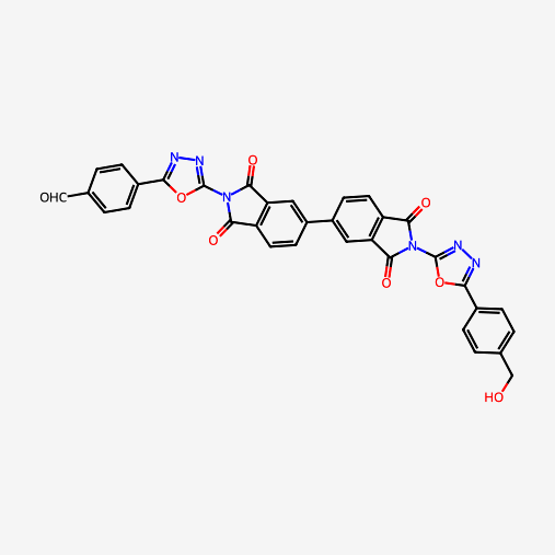 O=Cc1ccc(-c2nnc(N3C(=O)c4ccc(-c5ccc6c(c5)C(=O)N(c5nnc(-c7ccc(CO)cc7)o5)C6=O)cc4C3=O)o2)cc1